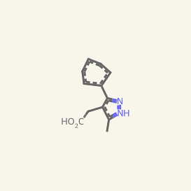 Cc1[nH]nc(-c2ccccc2)c1CC(=O)O